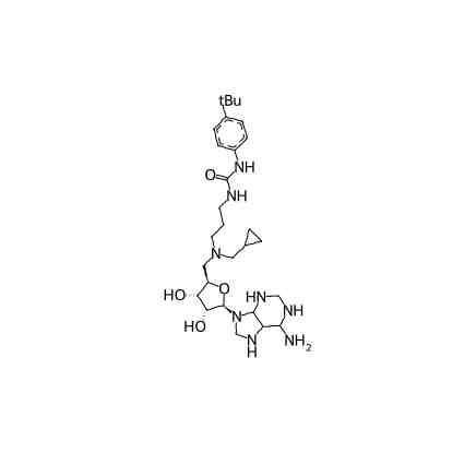 CC(C)(C)c1ccc(NC(=O)NCCCN(CC2CC2)C[C@H]2O[C@@H](N3CNC4C(N)NCNC43)[C@H](O)[C@@H]2O)cc1